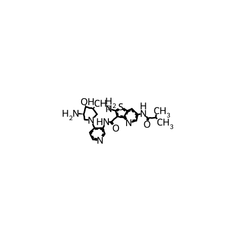 CC(C)C(=O)Nc1cnc2c(C(=O)Nc3cnccc3N3C[C@@H](N)[C@H](O)[C@@H](C)C3)c(N)sc2c1